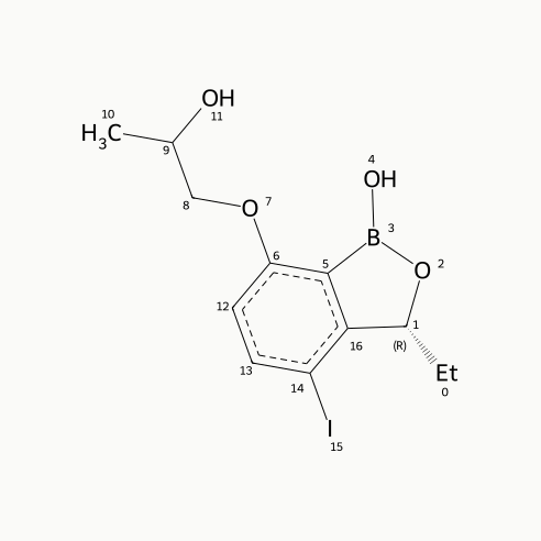 CC[C@H]1OB(O)c2c(OCC(C)O)ccc(I)c21